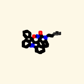 CCCCC=CN1C(=O)C2(NOC(c3ccccc3)(c3ccccc3)c3[nH]c4ccccc4c32)c2ccccc21